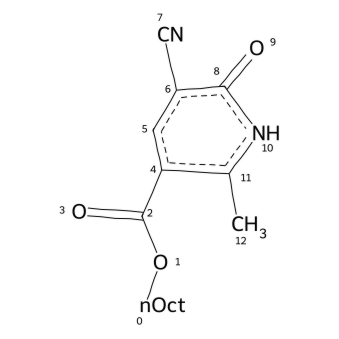 CCCCCCCCOC(=O)c1cc(C#N)c(=O)[nH]c1C